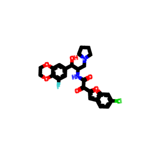 O=C(NC(CN1CCCC1)C(O)c1cc(F)c2c(c1)OCCO2)C(=O)c1cc2ccc(Cl)cc2o1